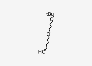 C#CCCCCCOCCCCCOCC(C)(C)C